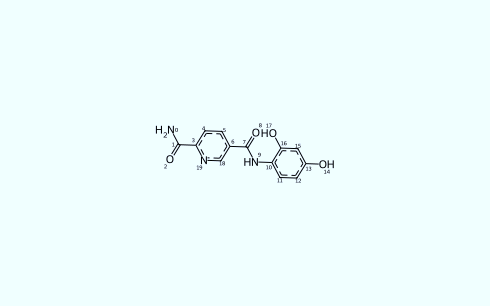 NC(=O)c1ccc(C(=O)Nc2ccc(O)cc2O)cn1